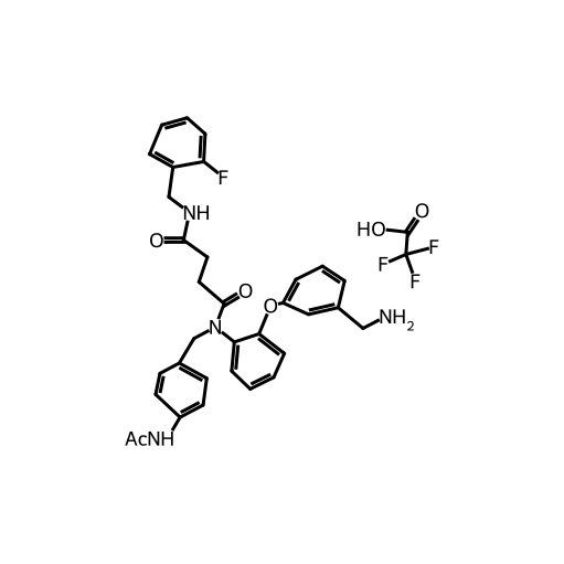 CC(=O)Nc1ccc(CN(C(=O)CCC(=O)NCc2ccccc2F)c2ccccc2Oc2cccc(CN)c2)cc1.O=C(O)C(F)(F)F